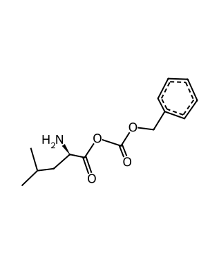 CC(C)C[C@@H](N)C(=O)OC(=O)OCc1ccccc1